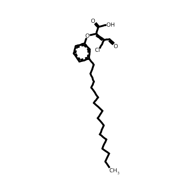 CCCCCCCCCCCCCCCc1cccc(OC(C(=O)O)=C(Cl)C=O)c1